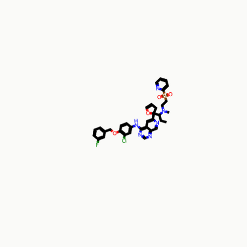 CCC(N(C)CCS(=O)(=O)c1ccccn1)C1(c2cc3c(Nc4ccc(OCc5cccc(F)c5)c(Cl)c4)ncnc3cn2)CC=CO1